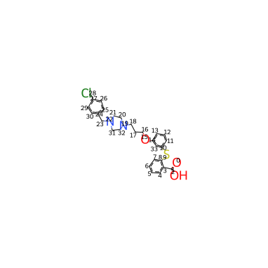 O=C(O)c1ccccc1Sc1cccc(OCCCN2CCN(Cc3ccc(Cl)cc3)CC2)c1